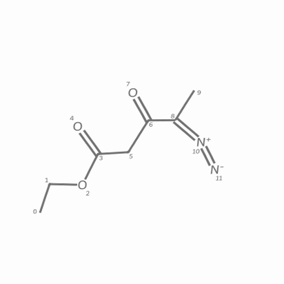 CCOC(=O)CC(=O)C(C)=[N+]=[N-]